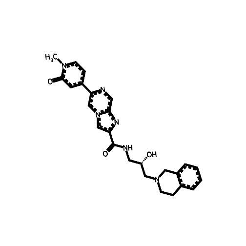 Cn1ccc(-c2cn3cc(C(=O)NC[C@H](O)CN4CCc5ccccc5C4)nc3cn2)cc1=O